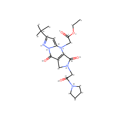 CCOC(=O)Cn1c2c(c(=O)n3nc(C(C)(C)C)cc13)CN(CC(=O)N1CCCC1)C2=O